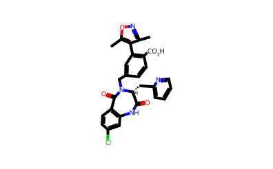 Cc1noc(C)c1-c1cc(CN2C(=O)c3ccc(Cl)cc3NC(=O)[C@H]2Cc2ccccn2)ccc1C(=O)O